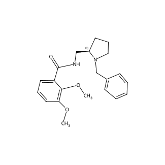 COc1cccc(C(=O)NC[C@H]2CCCN2Cc2ccccc2)c1OC